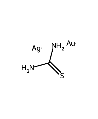 NC(N)=S.[Ag].[Au]